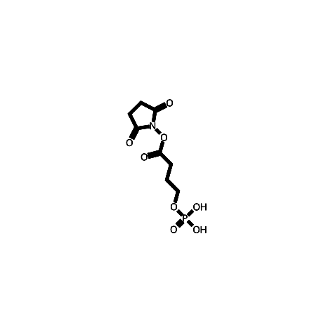 O=C(CCCOP(=O)(O)O)ON1C(=O)CCC1=O